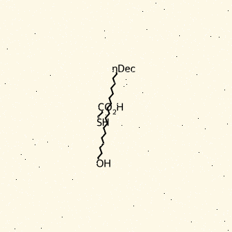 CCCCCCCCCCCCCCCCCCCCCCCCCCCCO.O=C(O)CCS